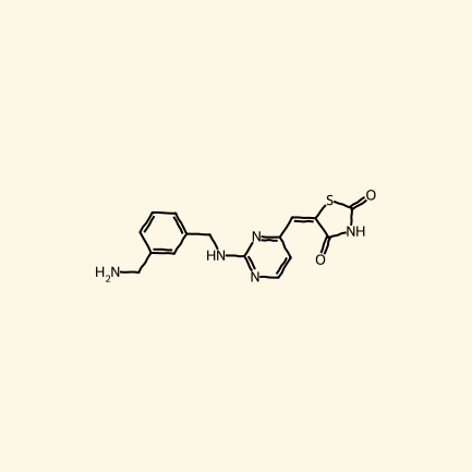 NCc1cccc(CNc2nccc(C=C3SC(=O)NC3=O)n2)c1